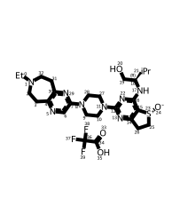 CCN1CCc2ncc(N3CCN(c4nc5c(c(N[C@@H](CO)C(C)C)n4)[S+]([O-])CC5)CC3)nc2CC1.O=C(O)C(F)(F)F